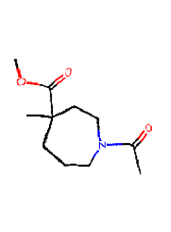 COC(=O)C1(C)CCCN(C(C)=O)CC1